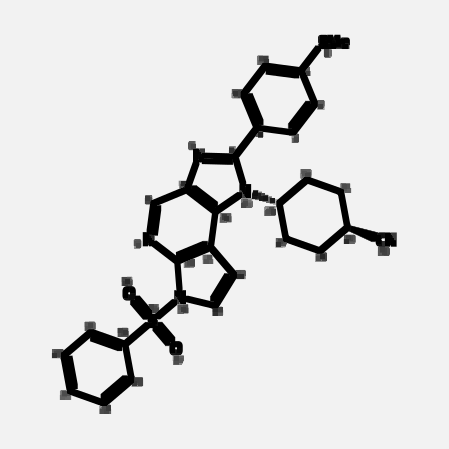 CSc1ccc(-c2nc3cnc4c(ccn4S(=O)(=O)c4ccccc4)c3n2[C@H]2CC[C@H](C#N)CC2)cc1